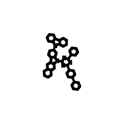 c1ccc(-c2ccc(-c3nc(-c4ccccc4)nc(-n4c5cc(-n6c7ccccc7c7ccccc76)ccc5c5cc6ccccc6cc54)n3)cc2)cc1